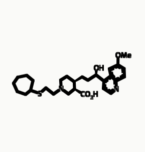 COc1ccc2nccc([C@H](O)CC[C@@H]3CCN(CCSC4CCCCCC4)C[C@@H]3C(=O)O)c2c1